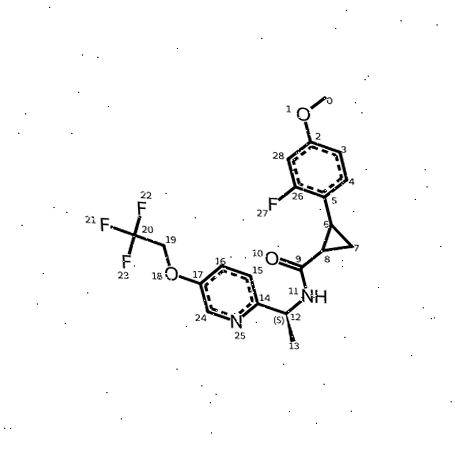 COc1ccc(C2CC2C(=O)N[C@@H](C)c2ccc(OCC(F)(F)F)cn2)c(F)c1